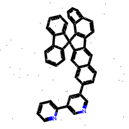 c1ccc(-c2cncc(-c3ccc4cc5c(cc4c3)C3(c4ccccc4-c4ccccc43)c3c-5ccc4ccccc34)c2)nc1